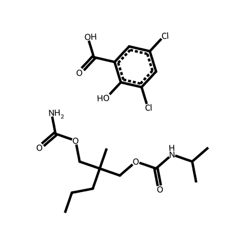 CCCC(C)(COC(N)=O)COC(=O)NC(C)C.O=C(O)c1cc(Cl)cc(Cl)c1O